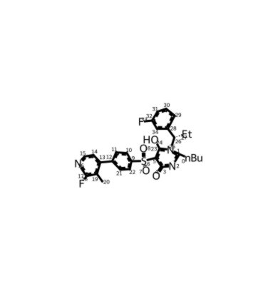 CCCCc1nc(=O)c(S(=O)(=O)c2ccc(-c3ccnc(F)c3C)cc2)c(O)n1[C@@H](CC)c1cccc(F)c1